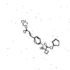 CCOC(=O)/C=C/c1ccc(CNC2(C(=O)OC3CCCC3)CCC2)cn1